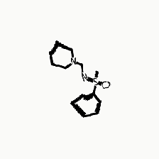 CS(=O)(=NCN1CCCCC1)c1ccccc1